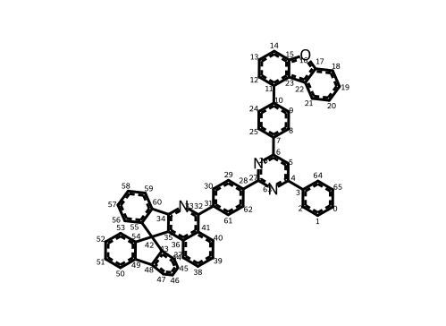 c1ccc(-c2cc(-c3ccc(-c4cccc5oc6ccccc6c45)cc3)nc(-c3ccc(-c4nc5c(c6ccccc46)C4(c6ccccc6-c6ccccc64)c4ccccc4-5)cc3)n2)cc1